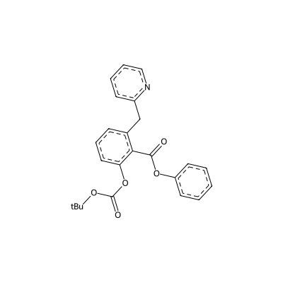 CC(C)(C)OC(=O)Oc1cccc(Cc2ccccn2)c1C(=O)Oc1ccccc1